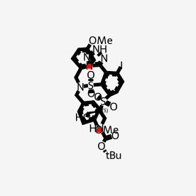 COc1ccc(CN(Cc2ccc(OC)cc2)S(=O)(=O)c2c(S(=O)(=O)[C@H](CO)CNC(=O)OC(C)(C)C)ccc(I)c2-c2nn[nH]n2)cc1